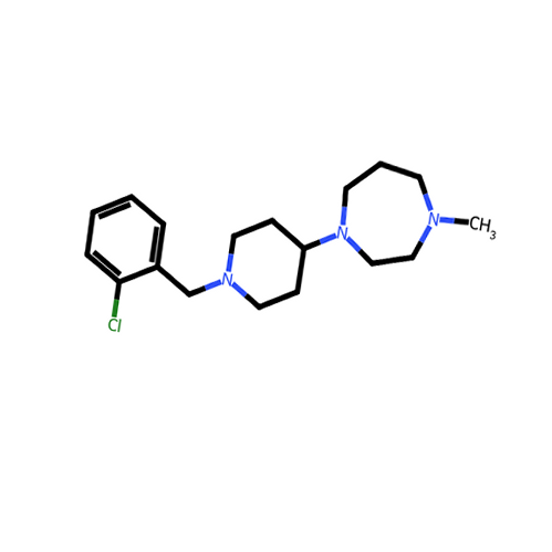 CN1CCCN(C2CCN(Cc3ccccc3Cl)CC2)CC1